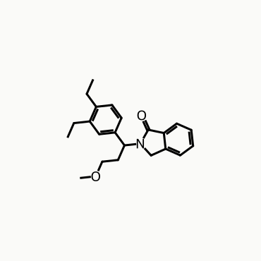 CCc1ccc(C(CCOC)N2Cc3ccccc3C2=O)cc1CC